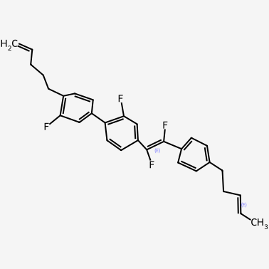 C=CCCCc1ccc(-c2ccc(/C(F)=C(\F)c3ccc(CC/C=C/C)cc3)cc2F)cc1F